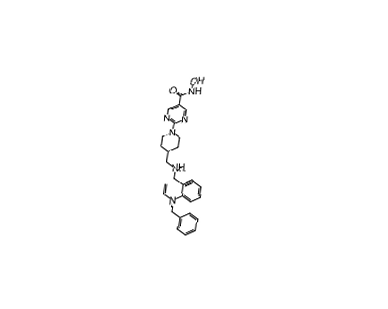 C=CN(Cc1ccccc1)c1ccccc1CNCC1CCN(c2ncc(C(=O)NO)cn2)CC1